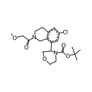 COCC(=O)N1CCc2cc(Cl)cc(C3COCCN3C(=O)OC(C)(C)C)c2C1